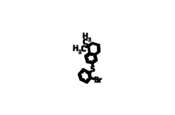 CC1(C)CC=Cc2cc(Sc3ccccc3Br)ccc21